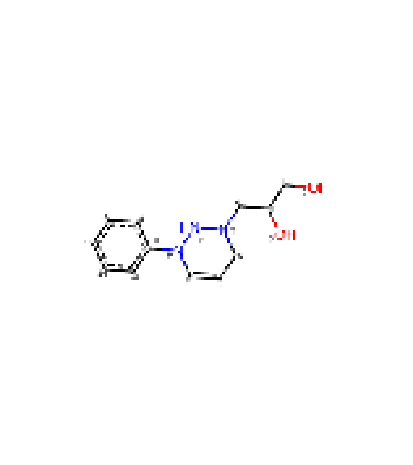 OCC(O)CN1CC=CN(c2ccccc2)N1